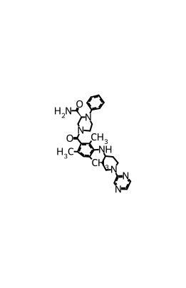 Cc1cc(C)c(C(=O)N2CCN(c3ccccc3)[C@H](C(N)=O)C2)c(C)c1NC1CCN(c2cnccn2)CC1